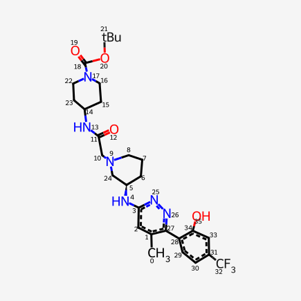 Cc1cc(N[C@@H]2CCCN(CC(=O)NC3CCN(C(=O)OC(C)(C)C)CC3)C2)nnc1-c1ccc(C(F)(F)F)cc1O